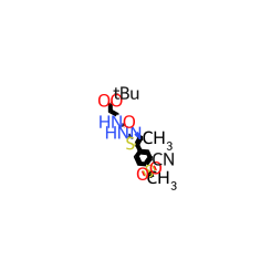 Cc1nc(NC(=O)NCCC(=O)OC(C)(C)C)sc1-c1ccc(S(C)(=O)=O)c(C#N)c1